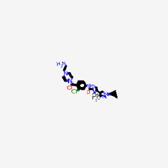 Cn1c(-c2cn(C3CC3)nc2C(F)(F)F)cnc1C(=O)Nc1ccc(C(=O)N2CCN(CCN)CC2)c(Cl)c1